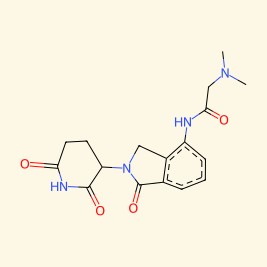 CN(C)CC(=O)Nc1cccc2c1CN(C1CCC(=O)NC1=O)C2=O